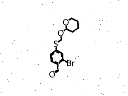 O=Cc1ccc(SCOC2CCCCO2)cc1Br